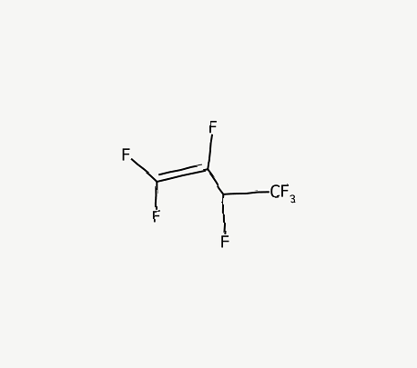 FC(F)=C(F)C(F)C(F)(F)F